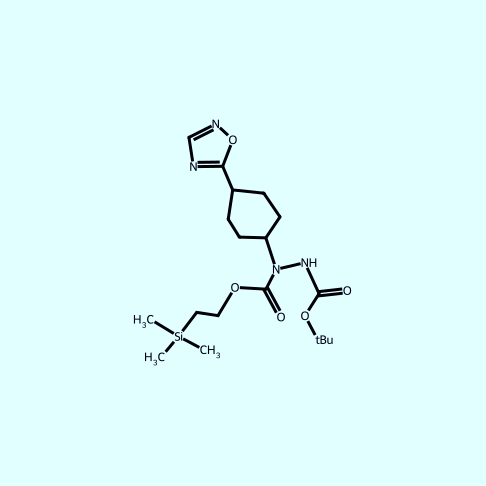 CC(C)(C)OC(=O)NN(C(=O)OCC[Si](C)(C)C)C1CCC(c2ncno2)CC1